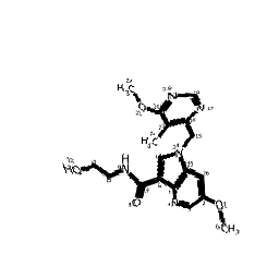 COc1cnc2c(C(=O)NCCO)cn(Cc3ncnc(OC)c3C)c2c1